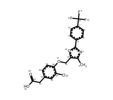 Cc1nc(-c2ccc(C(F)(F)F)cc2)oc1COc1ccc(CC(=O)O)cc1Cl